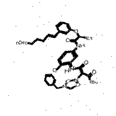 CCCCCCCCCCCCCCCc1cccc(OC(CC)C(=O)Nc2ccc(Cl)c(NC(=O)C(C(=O)C(C)(C)C)N3OCN(Cc4ccccc4)O3)c2)c1